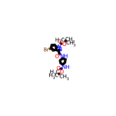 CC(C)(C)OC(=O)N[C@H]1CC[C@H](NC(=O)c2nn(C(=O)OC(C)(C)C)c3ccc(Br)cc23)CC1